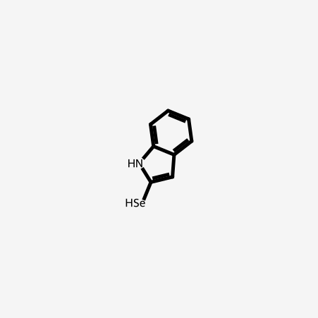 [SeH]c1cc2ccccc2[nH]1